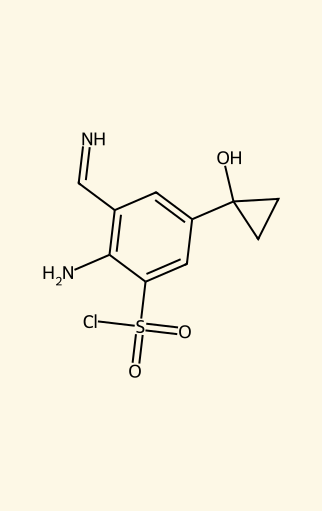 N=Cc1cc(C2(O)CC2)cc(S(=O)(=O)Cl)c1N